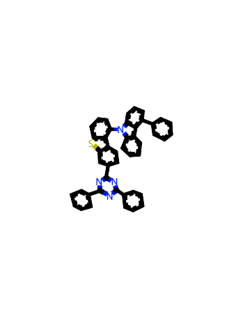 c1ccc(-c2nc(-c3ccccc3)nc(-c3ccc4c(c3)sc3cccc(-n5c6ccccc6c6c(-c7ccccc7)cccc65)c34)n2)cc1